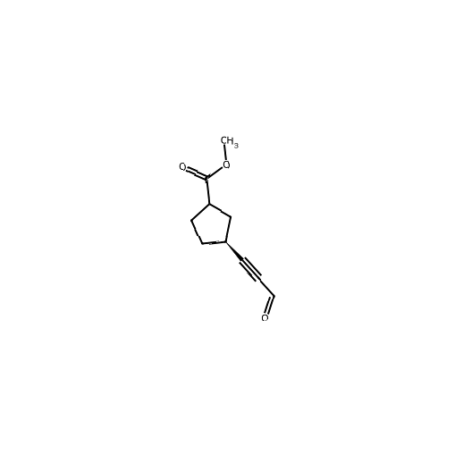 COC(=O)C1CC[C@H](C#CC=O)C1